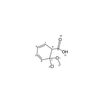 COC1(Cl)C=CC=CC1C(=O)O